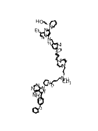 CCc1cnn2c(NCc3ccc(OCCCN4CCN(CCCN(C)C/C=C/C(=O)N5CCC[C@@H](n6nc(-c7ccc(Oc8ccccc8)cc7)c7c(N)ncnc76)C5)CC4)nc3)cc(N3CCCC[C@H]3CCO)nc12